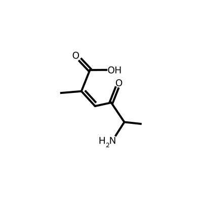 CC(=CC(=O)C(C)N)C(=O)O